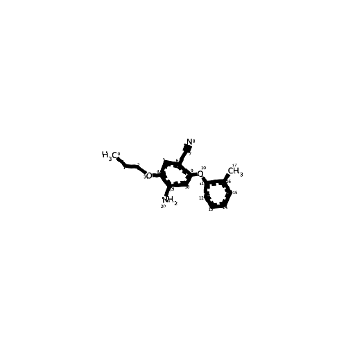 CCCOc1cc(C#N)c(Oc2ccccc2C)cc1N